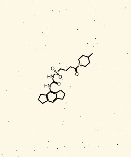 CC1CCN(C(=O)CCCS(=O)(=O)NC(=O)Nc2c3c(cc4c2CCC4)CCC3)CC1